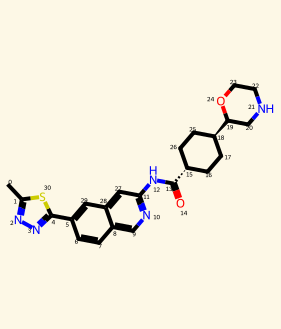 Cc1nnc(-c2ccc3cnc(NC(=O)[C@H]4CC[C@H](C5CNCCO5)CC4)cc3c2)s1